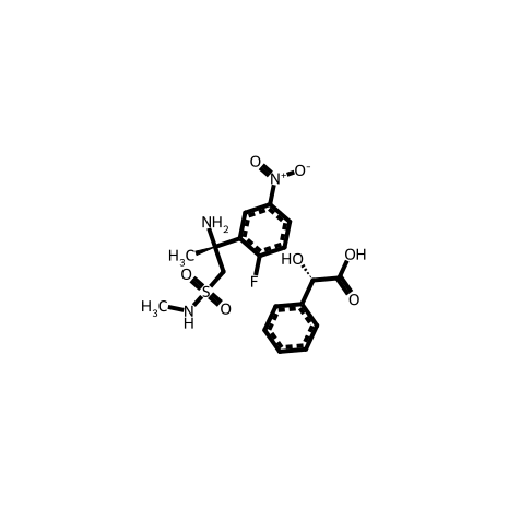 CNS(=O)(=O)C[C@](C)(N)c1cc([N+](=O)[O-])ccc1F.O=C(O)[C@@H](O)c1ccccc1